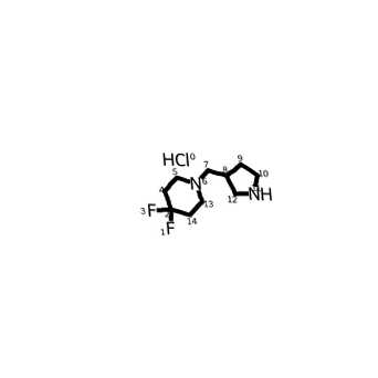 Cl.FC1(F)CCN(CC2CCNC2)CC1